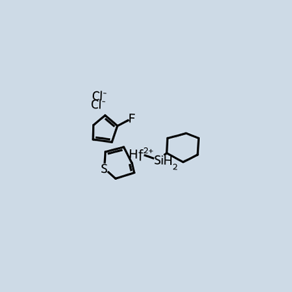 C1=CCSC=C1.FC1=CCC=C1.[Cl-].[Cl-].[Hf+2][SiH2]C1CCCCC1